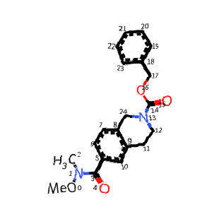 CON(C)C(=O)c1ccc2c(c1)CCN(C(=O)OCc1ccccc1)C2